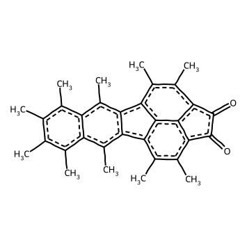 Cc1c(C)c(C)c2c(C)c3c(c(C)c2c1C)c1c(C)c(C)c2c(=O)c(=O)c4c(C)c(C)c3c1c24